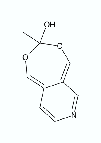 CC1(O)OC=c2ccncc2=CO1